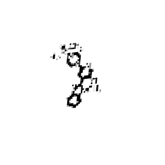 C=S(C)(=O)N1CCN(c2cc(-c3nc4ccccc4n3C)c(Cl)cn2)CC1